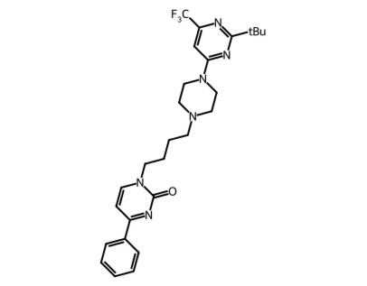 CC(C)(C)c1nc(N2CCN(CCCCn3ccc(-c4ccccc4)nc3=O)CC2)cc(C(F)(F)F)n1